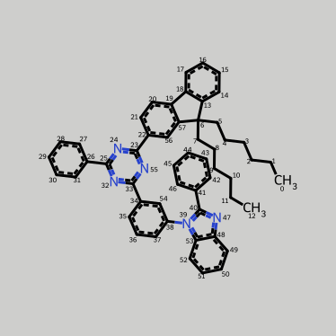 CCCCCCC1(CCCCCC)c2ccccc2-c2ccc(-c3nc(-c4ccccc4)nc(-c4cccc(-n5c(-c6ccccc6)nc6ccccc65)c4)n3)cc21